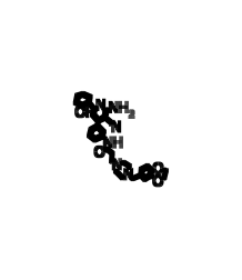 N#Cc1c(-c2cccc(NC(=O)CCN3CCN(Cc4ccc5c(c4)OCCO5)CC3)c2)cc(-c2ccccc2O)nc1N